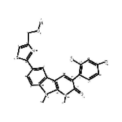 CCOCc1csc(-c2ccc3c(c2)c2cc(-c4ccc(Cl)cc4Cl)c(=O)n(C)c2n3C)n1